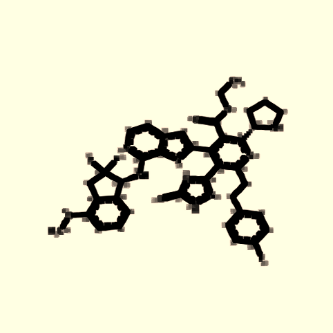 CCOC(=O)c1c([C@@H]2CCCN2)nc(CCc2ccc(F)cc2)c(-c2n[nH]c(=O)o2)c1-c1cc2ccnc(N[C@H]3c4cccc(OC)c4CC3(F)F)c2s1